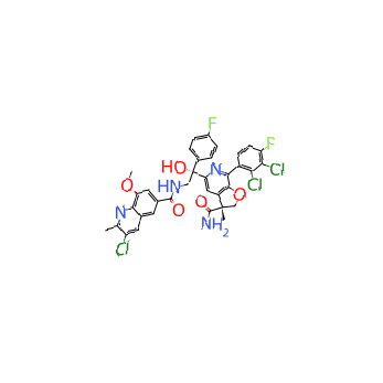 COc1cc(C(=O)NC[C@@](O)(c2ccc(F)cc2)c2cc3c(c(-c4ccc(F)c(Cl)c4Cl)n2)OC[C@]3(C)C(N)=O)cc2cc(Cl)c(C)nc12